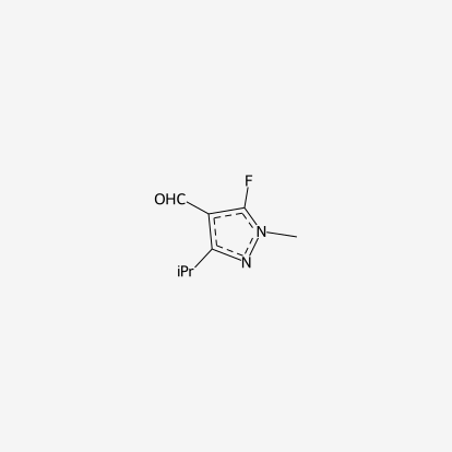 CC(C)c1nn(C)c(F)c1C=O